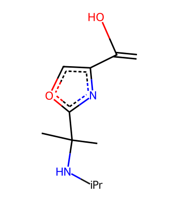 C=C(O)c1coc(C(C)(C)NC(C)C)n1